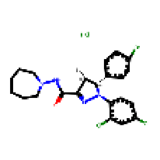 CC[C@H]1C(C(=O)NN2CCCCCC2)=NN(c2ccc(Cl)cc2Cl)[C@H]1c1ccc(Br)cc1.Cl